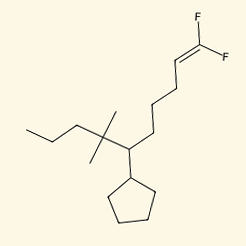 CCCC(C)(C)C(CCCC=C(F)F)C1CCCC1